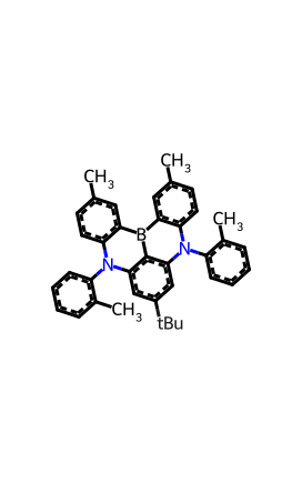 Cc1ccc2c(c1)B1c3cc(C)ccc3N(c3ccccc3C)c3cc(C(C)(C)C)cc(c31)N2c1ccccc1C